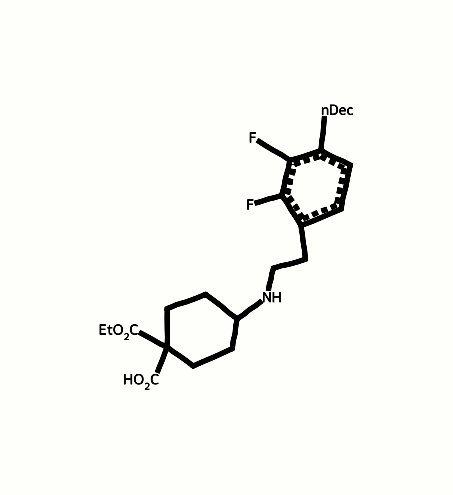 CCCCCCCCCCc1ccc(CCNC2CCC(C(=O)O)(C(=O)OCC)CC2)c(F)c1F